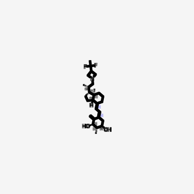 C=C1/C(=C\C=C2/CCC[C@]3(C)[C@@H]([C@H](C)CN4CC(C(C)(F)F)C4)CC[C@@H]23)C[C@@H](O)[C@H](C)[C@@H]1O